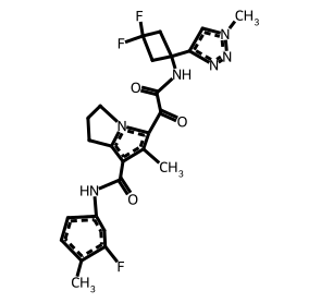 Cc1ccc(NC(=O)c2c(C)c(C(=O)C(=O)NC3(c4cn(C)nn4)CC(F)(F)C3)n3c2CCC3)cc1F